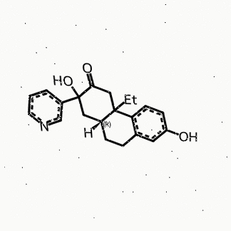 CCC12CC(=O)C(O)(c3cccnc3)C[C@H]1CCc1cc(O)ccc12